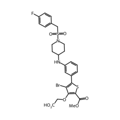 COC(=O)c1sc(-c2cccc(NC3CCN(S(=O)(=O)Cc4ccc(F)cc4)CC3)c2)c(Br)c1OCC(=O)O